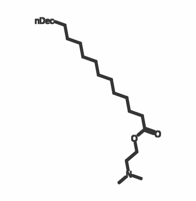 CCCCCCCCCCCCCCCCCCCCCC(=O)OCCN(C)C